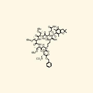 Cc1c(C)c(S(=O)(=O)NC(=N)NCCC[C@H](NC(=O)[C@@H](NC(=O)C(NC(=O)[C@@H](NC(=O)[C@@H](N)CSCC(N)=O)[C@@H](C)OC(C)(C)C)[C@@H](C)OC(C)(C)C)[C@@H](C)OC(C)(C)C)C(=O)N[C@@H](CC(=O)O)C(=O)OCc2ccccc2)c(C)c2c1CC(C)(C)O2